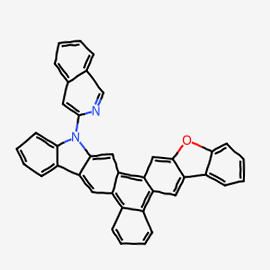 c1ccc2cc(-n3c4ccccc4c4cc5c6ccccc6c6cc7c(cc6c5cc43)oc3ccccc37)ncc2c1